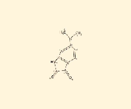 CC(C)c1ccc2c(c1)NC(=O)C2=O